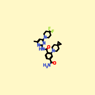 Cc1cc(N2CCC(F)(F)CC2)nc(NC(=O)c2ccc(C(N)=O)cc2N2CCC3(CC2)CC3)n1